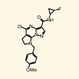 COc1ccc(CN2CCc3c(Cl)nc4c(C(=O)N[C@H]5C[C@H]5F)cnn4c32)cc1